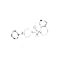 O=S(=O)(N1CCN(c2ccccc2)CC1)N1CCCc2ccccc21